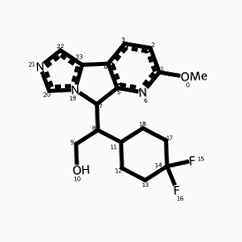 COc1ccc2c(n1)C(C(CO)C1CCC(F)(F)CC1)n1cncc1-2